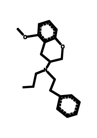 CCCN(CCc1ccccc1)C1COc2cccc(OC)c2C1